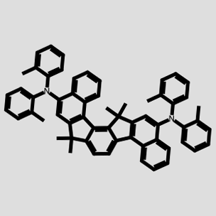 Cc1ccccc1N(c1ccccc1C)c1cc2c(c3ccccc13)-c1ccc3c(c1C2(C)C)-c1c(cc(N(c2ccccc2C)c2ccccc2C)c2ccccc12)C3(C)C